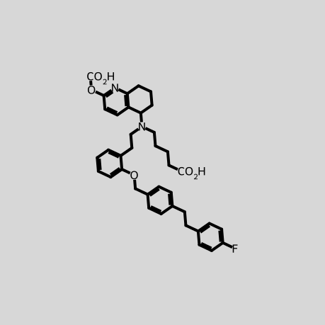 O=C(O)CCCCN(CCc1ccccc1OCc1ccc(CCc2ccc(F)cc2)cc1)C1CCCc2nc(OC(=O)O)ccc21